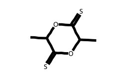 CC1OC(=S)C(C)OC1=S